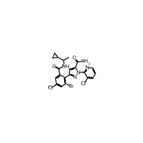 CC(NC(=O)c1cc(Cl)cc(Br)c1-c1cc(C(N)=O)n(-c2ncccc2Cl)n1)C1CC1